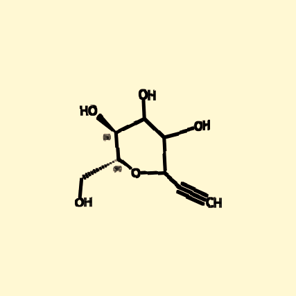 C#CC1O[C@H](CO)[C@@H](O)C(O)C1O